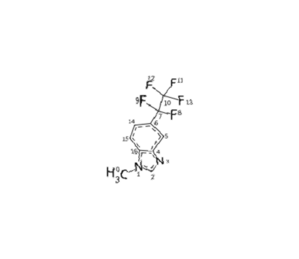 Cn1cnc2cc(C(F)(F)C(F)(F)F)ccc21